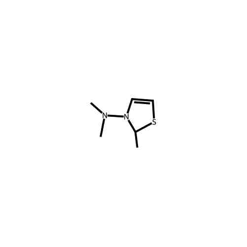 CC1SC=CN1N(C)C